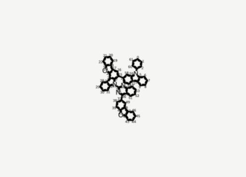 c1ccc(-n2c3ccccc3c3ccc(-c4cc5c6ccccc6oc5c5c6ccccc6n(-c6nc(-c7ccc8oc9ccccc9c8c7)c7ccccc7n6)c45)cc32)cc1